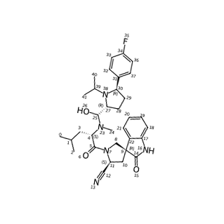 CC(C)C[C@@H](C(=O)N1C[C@]2(C[C@H]1C#N)C(=O)Nc1ccccc12)N(C)C(O)[C@H]1CC[C@H](c2ccc(F)cc2)N1C(C)C